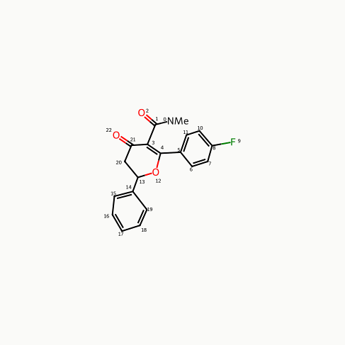 CNC(=O)C1=C(c2ccc(F)cc2)OC(c2ccccc2)CC1=O